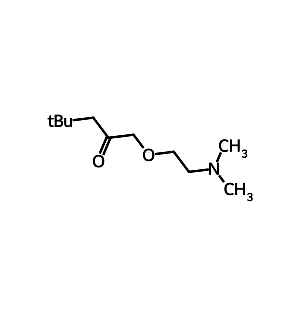 CN(C)CCOCC(=O)CC(C)(C)C